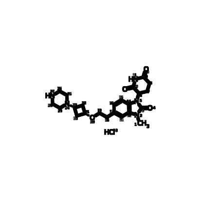 Cl.Cn1c(=O)n(C2CCC(=O)NC2=O)c2ccc(CCO[C@H]3C[C@@H](N4CCNCC4)C3)cc21